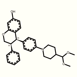 COC(OC)C1CCN(c2ccc([C@@H]3c4ccc(O)cc4OC[C@@H]3c3ccccc3)cc2)CC1